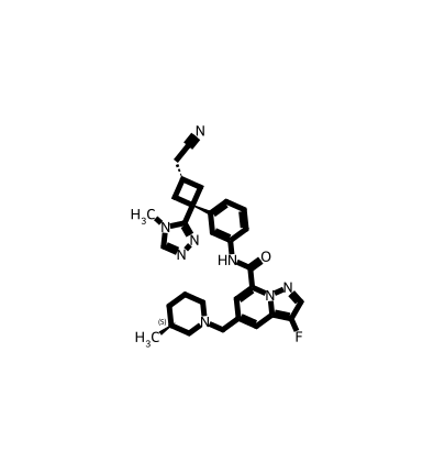 C[C@H]1CCCN(Cc2cc(C(=O)Nc3cccc([C@]4(c5nncn5C)C[C@@H](CC#N)C4)c3)n3ncc(F)c3c2)C1